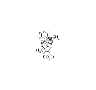 CCOC(=O)C=C1CCC2(O)[C@@H]3CC(C)=C4CCCC[C@]4(C)[C@H]3CC[C@]12C